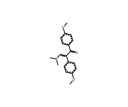 COc1ccc(C(=O)C(=CN(C)C)c2ccc(OC)cc2)cc1